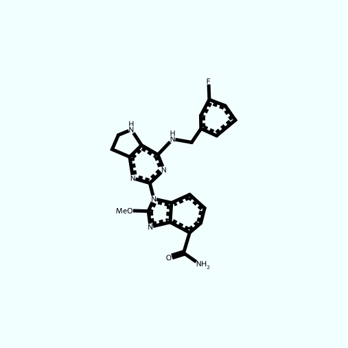 COc1nc2c(C(N)=O)cccc2n1-c1nc2c(c(NCc3cccc(F)c3)n1)NCC2